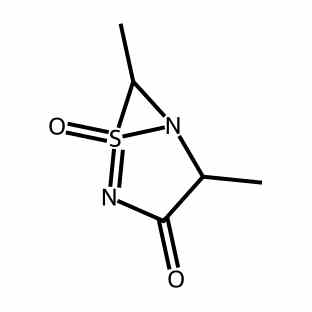 CC1C(=O)N=S2(=O)C(C)N12